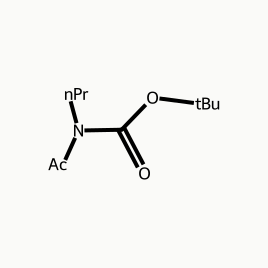 CCCN(C(C)=O)C(=O)OC(C)(C)C